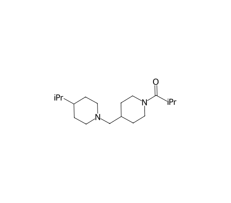 CC(C)C(=O)N1CCC(CN2CCC(C(C)C)CC2)CC1